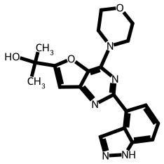 CC(C)(O)c1cc2nc(-c3cccc4[nH]ncc34)nc(N3CCOCC3)c2o1